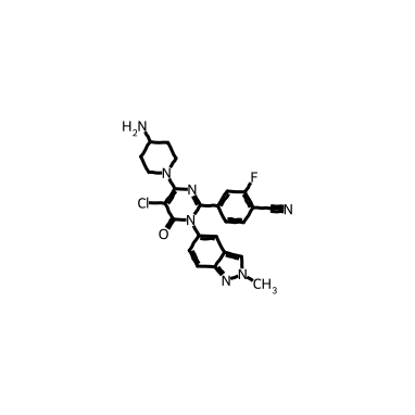 Cn1cc2cc(-n3c(-c4ccc(C#N)c(F)c4)nc(N4CCC(N)CC4)c(Cl)c3=O)ccc2n1